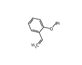 C=Cc1ccccc1OC(C)C